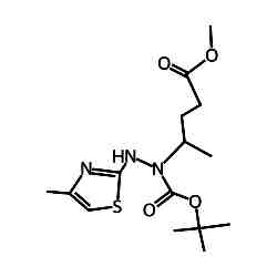 COC(=O)CCC(C)N(Nc1nc(C)cs1)C(=O)OC(C)(C)C